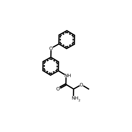 COC(N)C(=O)Nc1cccc(Oc2ccccc2)c1